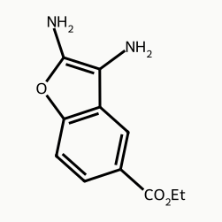 CCOC(=O)c1ccc2oc(N)c(N)c2c1